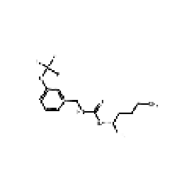 CCCCC(C)NC(=O)NCc1cccc(OC(F)(F)F)c1